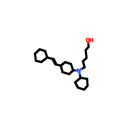 OCCCCCN(C1CCCCC1)C1CCC(C=CC2CCCCC2)CC1